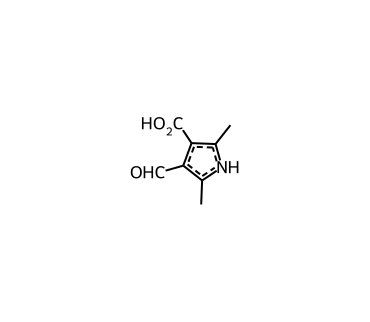 Cc1[nH]c(C)c(C(=O)O)c1C=O